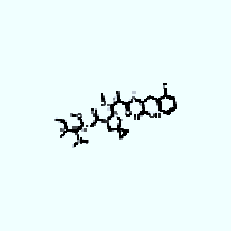 CC[C@H](C)[C@@H]([C@@H](CC(=O)N1CC2(CC2)C[C@H]1[C@H](OC)[C@@H](C)C(=O)N[C@@H](Cc1ccccc1F)C(=O)O)OC)N(C)C